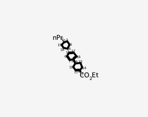 CCC[C@H]1CC[C@H](c2ccc(C3CC=C(C(=O)OCC)CC3)cc2)CC1